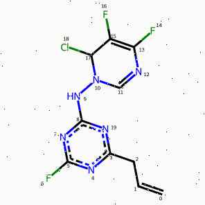 C=CCc1nc(F)nc(NN2[C]=NC(F)=C(F)C2Cl)n1